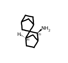 N[C@H]1C2CC[C@H](C2)C12CC1CCC2C1